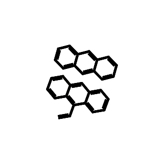 C=Cc1c2ccccc2cc2ccccc12.c1ccc2cc3ccccc3cc2c1